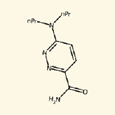 CCCN(CCC)c1ccc(C(N)=O)nn1